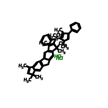 Cl.Cl.[CH2]=[Zr]([CH3])([C]1=C(C)C(c2ccccc2)=CC1C)([C]1=C(C)c2cc3c(cc2C1(C)C)Cc1cc2c(cc1-3)C(C)=CC2(C)C)[c]1ccccc1